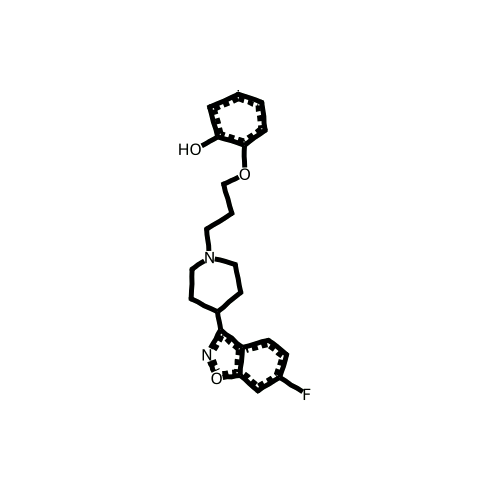 Oc1c[c]ccc1OCCCN1CCC(c2noc3cc(F)ccc23)CC1